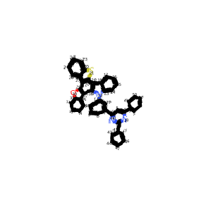 c1ccc(-c2cc(-c3cccc(-n4c5ccccc5c5c6sc7ccccc7c6c6oc7ccccc7c6c54)c3)nc(-c3ccccc3)n2)cc1